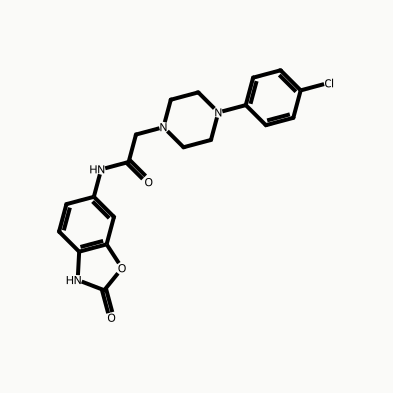 O=C(CN1CCN(c2ccc(Cl)cc2)CC1)Nc1ccc2[nH]c(=O)oc2c1